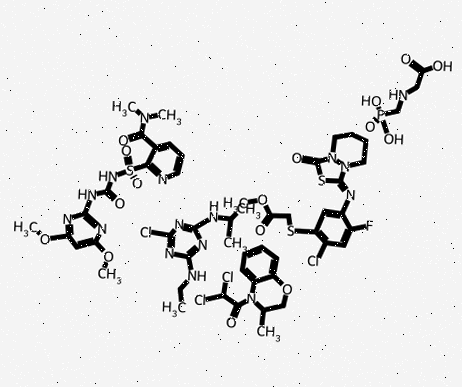 CC1COc2ccccc2N1C(=O)C(Cl)Cl.CCNc1nc(Cl)nc(NC(C)C)n1.COC(=O)CSc1cc(/N=c2\sc(=O)n3n2CCCC3)c(F)cc1Cl.COc1cc(OC)nc(NC(=O)NS(=O)(=O)c2ncccc2C(=O)N(C)C)n1.O=C(O)CNCP(=O)(O)O